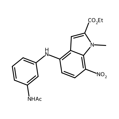 CCOC(=O)c1cc2c(Nc3cccc(NC(C)=O)c3)ccc([N+](=O)[O-])c2n1C